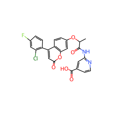 CC(Oc1ccc2c(-c3ccc(F)cc3Cl)cc(=O)oc2c1)C(=O)Nc1cc(C(=O)O)ccn1